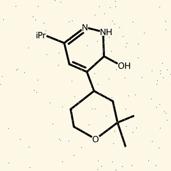 CC(C)C1=NNC(O)C(C2CCOC(C)(C)C2)=C1